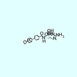 COC12CCC(c3ccc(C(=O)N[C@@H](CCCN(C)C(=N)N)OBO)cc3)(CC1)CC2